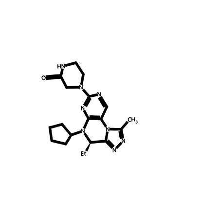 CC[C@@H]1c2nnc(C)n2-c2cnc(N3CCNC(=O)C3)nc2N1C1CCCC1